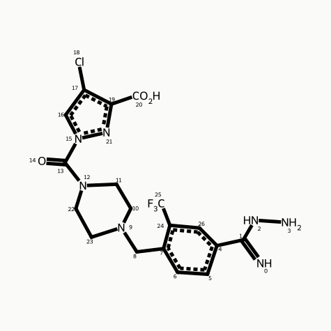 N=C(NN)c1ccc(CN2CCN(C(=O)n3cc(Cl)c(C(=O)O)n3)CC2)c(C(F)(F)F)c1